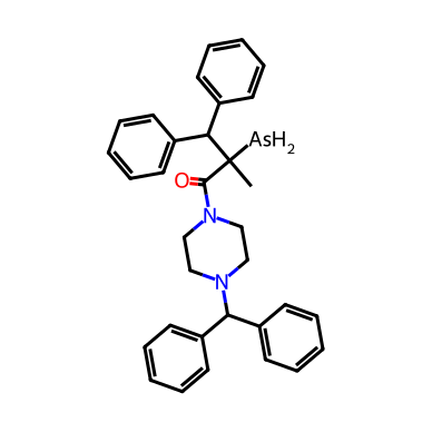 CC([AsH2])(C(=O)N1CCN(C(c2ccccc2)c2ccccc2)CC1)C(c1ccccc1)c1ccccc1